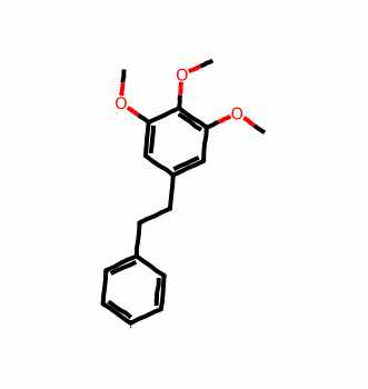 COc1cc(CCc2cc[c]cc2)cc(OC)c1OC